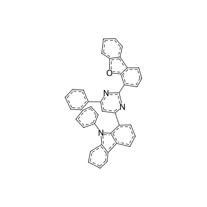 c1ccc(-c2cc(-c3cccc4c5ccccc5n(-c5ccccc5)c34)nc(-c3cccc4c3oc3ccccc34)n2)cc1